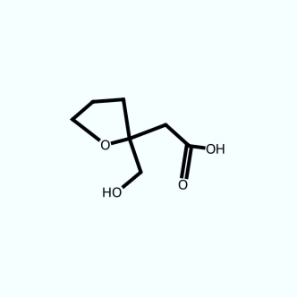 O=C(O)CC1(CO)CCCO1